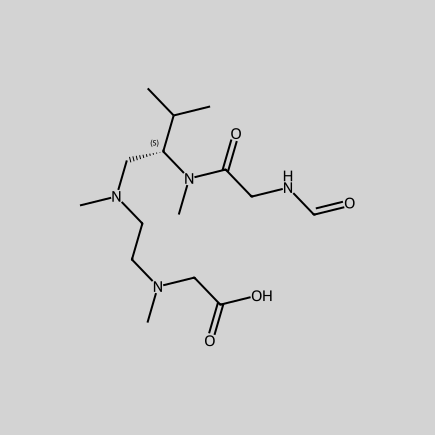 CC(C)[C@@H](CN(C)CCN(C)CC(=O)O)N(C)C(=O)CNC=O